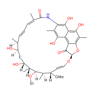 CCO[C@H]1[C@H](C)[C@H](O)C[C@@H](O)[C@@H](C)/C=C/C=C(/C)C(=O)Nc2c(C)c(O)c3c4c(c(C)c(O)c3c2O)O[C@](C)(O/C=C/[C@H](OC)[C@H]1C)C4=O